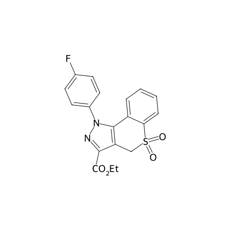 CCOC(=O)c1nn(-c2ccc(F)cc2)c2c1CS(=O)(=O)c1ccccc1-2